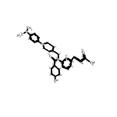 CN(C)c1ccc(N2CCC(CN(C(=O)C3CCC(O)CC3)c3cccc(/C=C/C(=O)O)n3)CC2)cc1